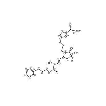 COC(=O)c1ccc(CCCN2C(=O)C(F)(F)CC2C=C[C@@H](O)[C@@H](C)CCCCc2ccccc2)s1